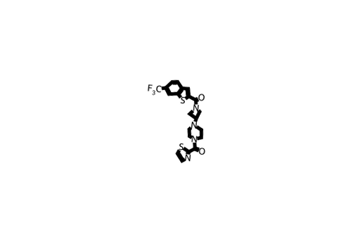 O=C(c1cc2ccc(C(F)(F)F)cc2s1)N1CC(N2CCN(C(=O)c3nccs3)CC2)C1